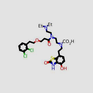 CCN(CC)CCN(CCN(CCc1ccc(O)c2[nH]c(=O)sc12)C(=O)O)C(=O)CCOCCc1cccc(Cl)c1Cl